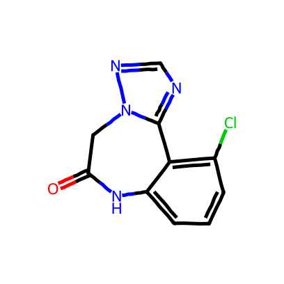 O=C1Cn2ncnc2-c2c(Cl)cccc2N1